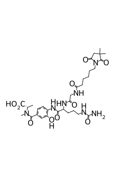 C[C@@H](C(=O)O)N(C)C(=O)c1ccc(NC(=O)C(CCCNC(N)=O)NC(=O)CNC(=O)CCCCCN2C(=O)CC(C)(C)C2=O)c(O)c1